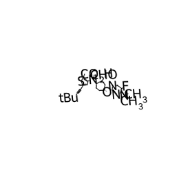 CN(C)c1nc(O[C@H]2CC[C@H](N(C=O)c3cc(C#CC(C)(C)C)sc3C(=O)O)CC2)ncc1F